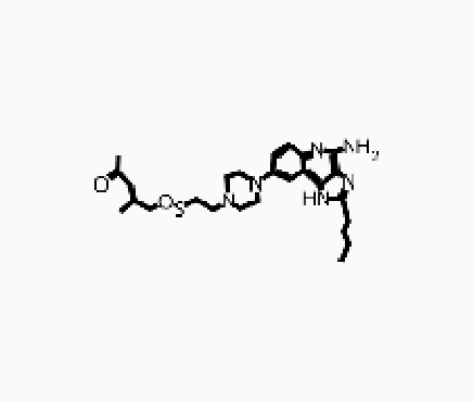 CCCCc1nc2c(N)nc3ccc(N4CCN(CCSOCC(C)CC(C)=O)CC4)cc3c2[nH]1